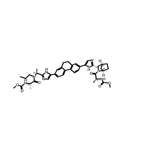 CCCN(C(=O)[C@H](C)NC(=O)OC)[C@@H](C)c1ncc(-c2ccc3c(c2)CCc2cc(-c4cnc([C@@H]5[C@H]6CC[C@H](C6)N5C(=O)[C@H](C)NC(=O)OC)[nH]4)ccc2-3)[nH]1